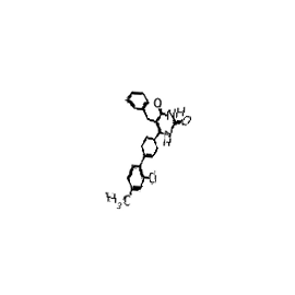 Cc1ccc(C2=CCC(c3[nH]c(=O)[nH]c(=O)c3Cc3ccccc3)CC2)c(Cl)c1